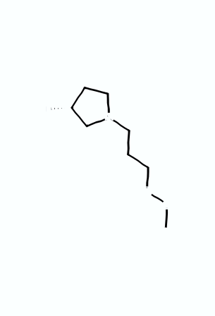 CSOCCCN1CC[C@@H](F)C1